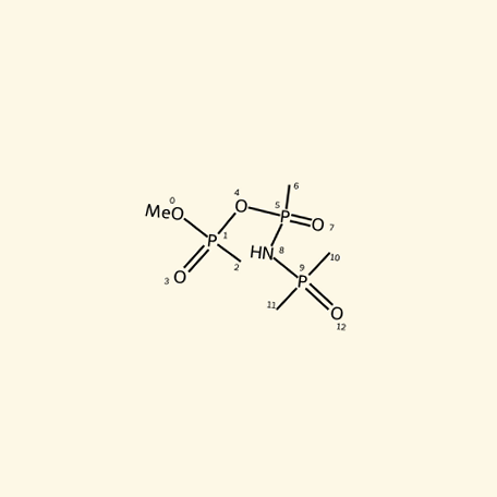 COP(C)(=O)OP(C)(=O)NP(C)(C)=O